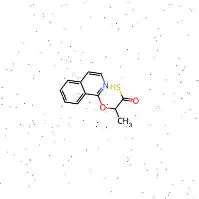 CC(Oc1nccc2ccccc12)C(=O)S